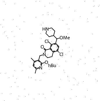 CCCCOc1nc(C)cc(C)c1CN1CCc2c(Cl)cc(C(OC)C3CCNCC3)c(Cl)c2C1=O